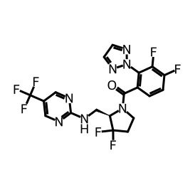 O=C(c1ccc(F)c(F)c1-n1nccn1)N1CCC(F)(F)[C@H]1CNc1ncc(C(F)(F)F)cn1